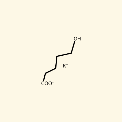 O=C([O-])CCCCO.[K+]